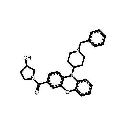 O=C(c1ccc2c(c1)Oc1ccccc1N2C1CCN(Cc2ccccc2)CC1)N1CCC(O)C1